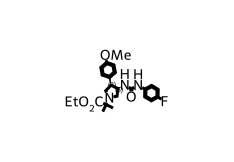 CCOC(=O)C(C)(C)N1C[C@@H](NC(=O)Nc2ccc(F)cc2)[C@H](c2ccc(OC)cc2)C1